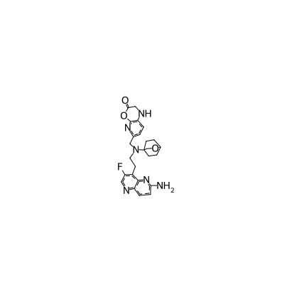 Nc1ccc2ncc(F)c(CCN(Cc3ccc4c(n3)OC(=O)CN4)C34CCC(CC3)OC4)c2n1